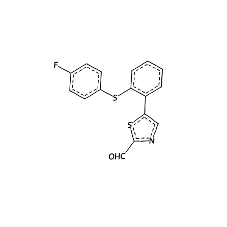 O=Cc1ncc(-c2ccccc2Sc2ccc(F)cc2)s1